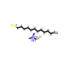 C[NH+](C)C.SCCCCCCCCCC[CH2][Au].[Br-]